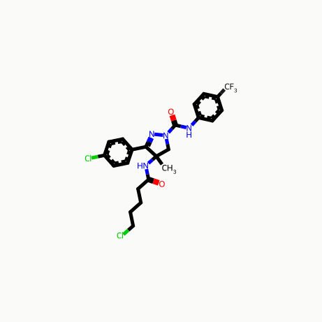 CC1(NC(=O)CCCCCl)CN(C(=O)Nc2ccc(C(F)(F)F)cc2)N=C1c1ccc(Cl)cc1